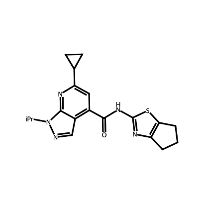 CC(C)n1ncc2c(C(=O)Nc3nc4c(s3)CCC4)cc(C3CC3)nc21